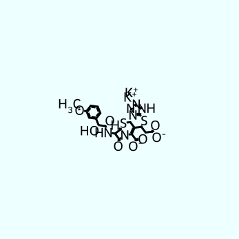 COc1cccc(C(O)C(=O)NC2C(=O)N3C(C(=O)[O-])=C(C(CC(=O)[O-])Sc4nnn[nH]4)CS[C@@H]23)c1.[K+].[K+]